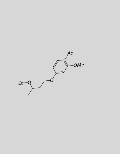 CCOC(C)CCOc1ccc(C(C)=O)c(OC)c1